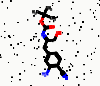 CC(C)(C)OC(=O)/N=C(\CO)Cc1ccc(C#N)c(N)c1